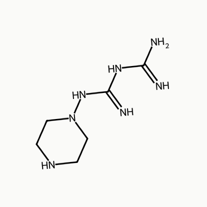 N=C(N)NC(=N)NN1CCNCC1